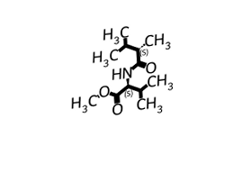 COC(=O)[C@@H](NC(=O)[C@@H](C)C(C)C)C(C)C